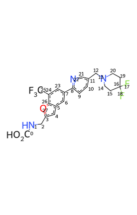 O=C(O)NCc1cc2cc(-c3ccc(CN4CCC(F)(F)CC4)cn3)cc(C(F)(F)F)c2o1